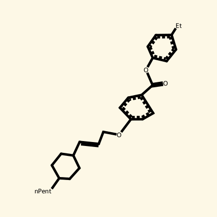 CCCCCC1CCC(C=CCOc2ccc(C(=O)Oc3ccc(CC)cc3)cc2)CC1